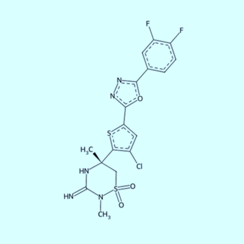 CN1C(=N)N[C@](C)(c2sc(-c3nnc(-c4ccc(F)c(F)c4)o3)cc2Cl)CS1(=O)=O